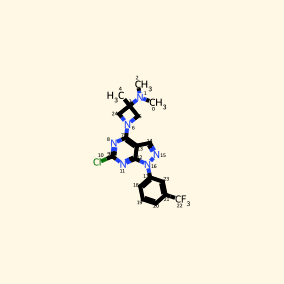 CN(C)C1(C)CN(c2nc(Cl)nc3c2cnn3-c2cccc(C(F)(F)F)c2)C1